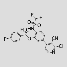 CC(Oc1cc(-c2ccnc(Cl)c2C#N)ccc1NS(=O)(=O)C(F)F)c1ccc(F)cc1